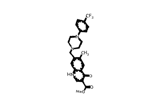 COC(=O)c1c[nH]c2cc(CN3CCN(c4ccc(C(F)(F)F)cc4)CC3)c(C)cc2c1=O